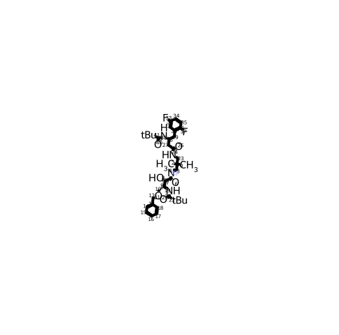 CC(C)(/C=N/C(=O)[C@@H](O)[C@@H](COCc1ccccc1)NC(=O)C(C)(C)C)CNC(=O)CC(Cc1cc(F)ccc1F)NC(=O)C(C)(C)C